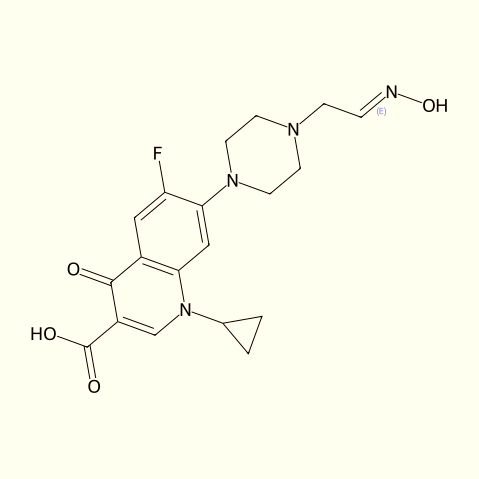 O=C(O)c1cn(C2CC2)c2cc(N3CCN(C/C=N/O)CC3)c(F)cc2c1=O